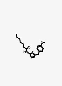 CCCCCCC(=O)Nc1ncc(Cc2ccc(OC)cc2)s1